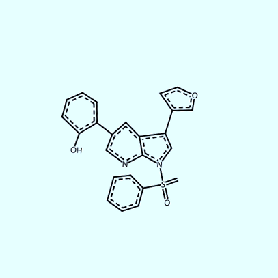 C=S(=O)(c1ccccc1)n1cc(-c2ccoc2)c2cc(-c3ccccc3O)cnc21